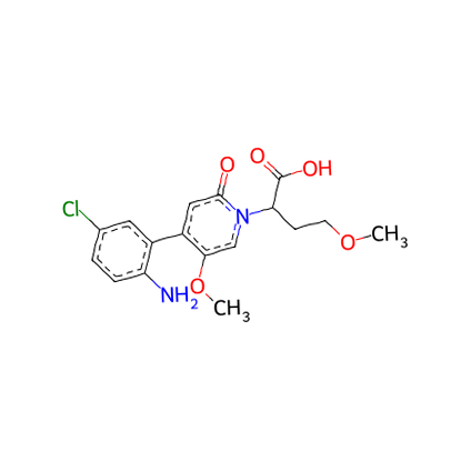 COCCC(C(=O)O)n1cc(OC)c(-c2cc(Cl)ccc2N)cc1=O